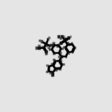 NS(=O)(=O)c1cccc(CN(c2ccc3[nH]ccc3c2)C2CCNCC2)c1.O=C(O)C(F)(F)F